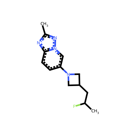 Cc1nc2ccc(N3CC(CC(C)F)C3)cn2n1